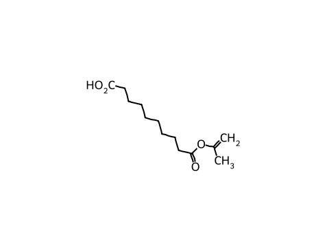 C=C(C)OC(=O)CCCCCCCCC(=O)O